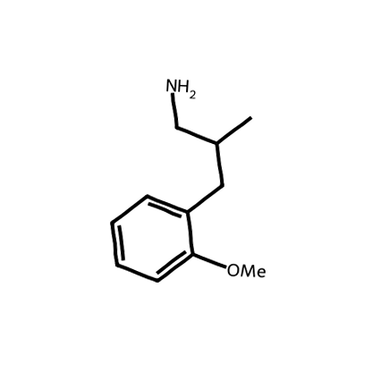 COc1ccccc1CC(C)CN